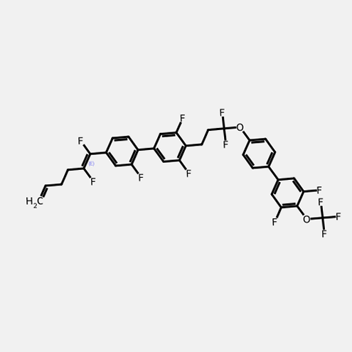 C=CCC/C(F)=C(\F)c1ccc(-c2cc(F)c(CCC(F)(F)Oc3ccc(-c4cc(F)c(OC(F)(F)F)c(F)c4)cc3)c(F)c2)c(F)c1